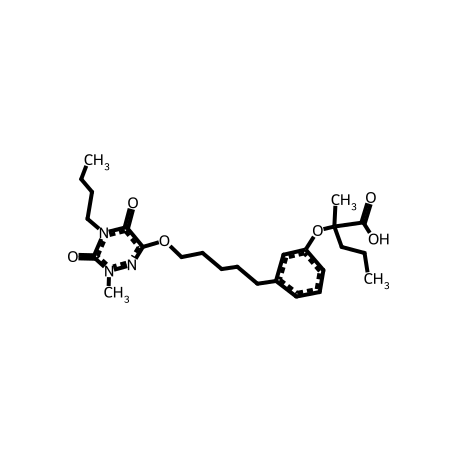 CCCCn1c(=O)c(OCCCCCc2cccc(OC(C)(CCC)C(=O)O)c2)nn(C)c1=O